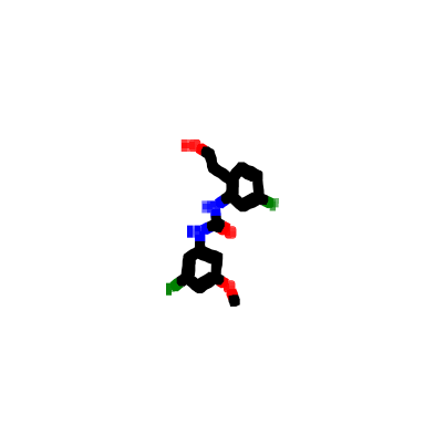 COc1cc(F)cc(NC(=O)Nc2cc(F)ccc2CCO)c1